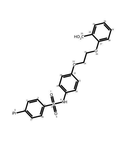 CC(C)c1ccc(S(=O)(=O)Nc2ccc(OCCOc3ccccc3C(=O)O)cc2)cc1